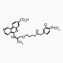 C[C@H](COCCCCNCc1ccc(OC(F)(F)F)c(Cl)c1)Nc1nc2cc(C(=O)O)ccc2c2cnccc12